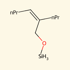 CCCC=C(CCC)CO[SiH3]